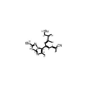 C\C(C#N)=C/C=C(\C=C(/C)C(C)CC(C)(C)C)c1c(C)nc2sc(C(C)(C)C)nn12